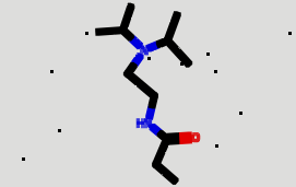 CCC(=O)NCCN(C(C)C)C(C)C